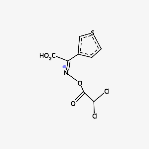 O=C(O)/C(=N/OC(=O)C(Cl)Cl)c1ccsc1